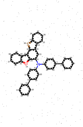 c1ccc(-c2ccc(N(c3ccc(-c4ccccc4)cc3)c3cc4c5ccccc5sc4c4c3oc3ccccc34)cc2)cc1